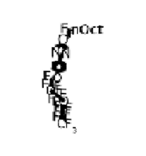 CCCCCCCC[C@@H](F)COc1cnc(-c2ccc(OC(F)C(F)(F)OC(F)(F)C(F)(F)OC(F)(F)C(F)(F)C(F)(F)C(F)(F)F)cc2)nc1